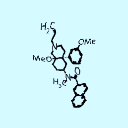 C=CCN1CC[C@@]2(c3cccc(OC)c3)C[C@@H](N(C)C(=O)c3ccc4ccccc4c3)CC[C@]2(OC)C1